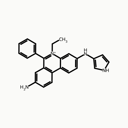 CC[n+]1c(-c2ccccc2)c2cc(N)ccc2c2ccc(Nc3cc[nH]c3)cc21